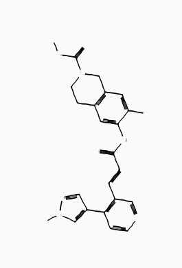 Cn1cc(-c2ccncc2C=CC(=O)Nc2cc3c(cc2F)CN(C(=O)OC(C)(C)C)CC3)cn1